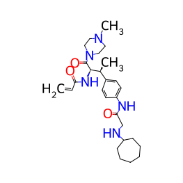 C=CC(=O)N[C@@H](C(=O)N1CCN(C)CC1)[C@@H](C)c1ccc(NC(=O)CNC2CCCCCC2)cc1